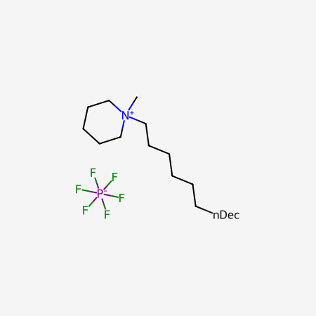 CCCCCCCCCCCCCCCC[N+]1(C)CCCCC1.F[P-](F)(F)(F)(F)F